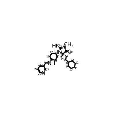 CN1C(=N)N[C@](CCC2CCCCC2)(C[C@@H]2CCC[C@H](NCc3cccnc3)C2)C1=O